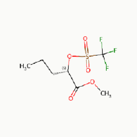 CCC[C@H](OS(=O)(=O)C(F)(F)F)C(=O)OC